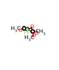 COc1ccc(/C=C2\Cc3cc(OC)c(OC)cc3C2=O)c(C(F)(F)F)c1